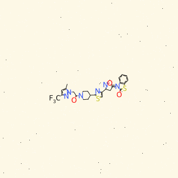 Cc1cc(C(F)(F)F)nn1CC(=O)N1CCC(c2nc(C3=NO[C@@H](n4c(=O)sc5ccccc54)C3)cs2)CC1